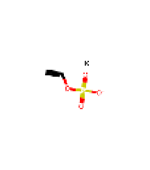 C=COS(=O)(=O)[O-].[K+]